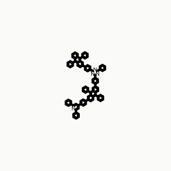 c1ccc(-c2cc(-c3ccc(-c4ccc5c(-c6ccccc6)c6ccc(-c7ccc(-c8nc(-c9ccccc9)nc(-c9ccc(-c%10ccc%11c(-c%12ccccc%12)c%12ccccc%12c(-c%12ccccc%12)c%11c%10)cc9)n8)cc7)cc6c(-c6ccccc6)c5c4)cc3)cc(-c3ccccc3)n2)cc1